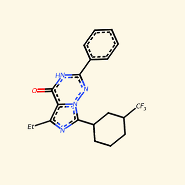 CCc1nc(C2CCCC(C(F)(F)F)C2)n2nc(-c3ccccc3)[nH]c(=O)c12